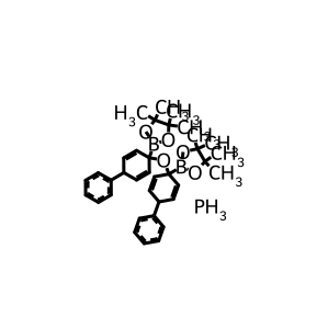 CC1(C)OB(C2(OC3(B4OC(C)(C)C(C)(C)O4)C=CC(c4ccccc4)C=C3)C=CC(c3ccccc3)C=C2)OC1(C)C.P